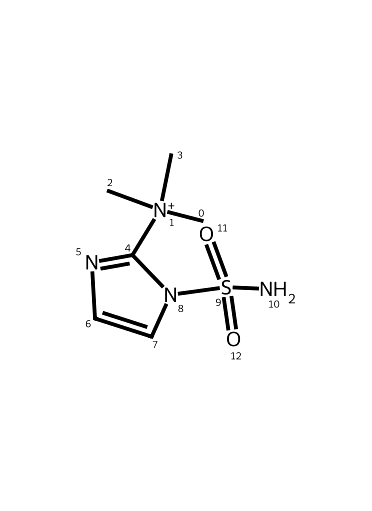 C[N+](C)(C)c1nccn1S(N)(=O)=O